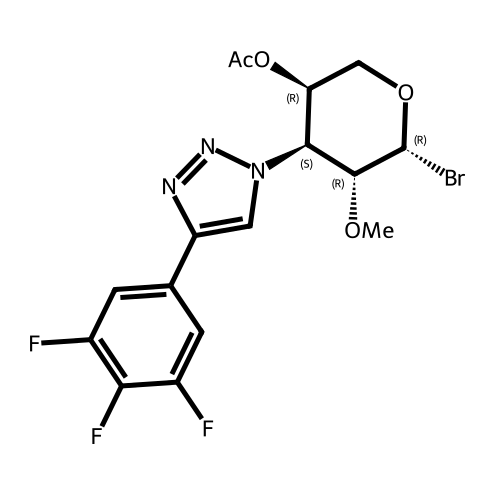 CO[C@@H]1[C@@H](n2cc(-c3cc(F)c(F)c(F)c3)nn2)[C@@H](OC(C)=O)CO[C@@H]1Br